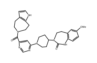 COc1ccc2c(c1)CCN(C1CCN(c3cc(C(=O)N4CCc5cc[nH]c5CC4)ncn3)CC1)C(=O)N2